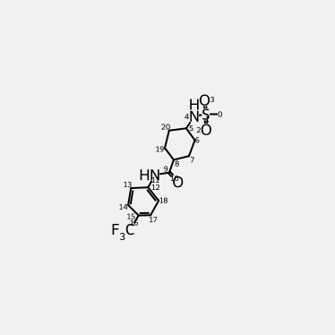 CS(=O)(=O)NC1CCC(C(=O)Nc2ccc(C(F)(F)F)cc2)CC1